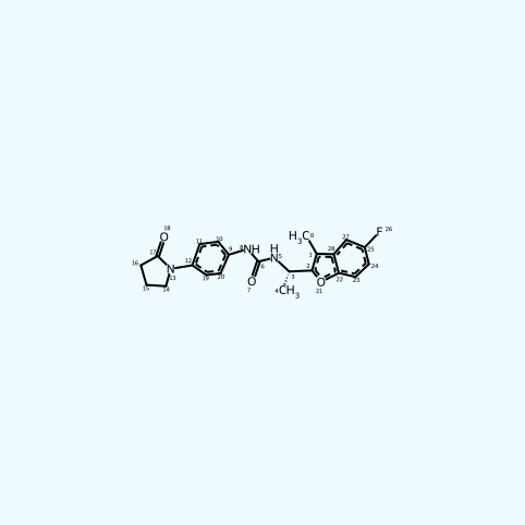 Cc1c([C@H](C)NC(=O)Nc2ccc(N3CCCC3=O)cc2)oc2ccc(F)cc12